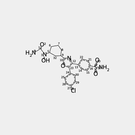 NC(=O)N(O)C1CCCC(c2nc(-c3ccc(S(N)(=O)=O)cc3)c(-c3ccc(Cl)cc3)o2)C1